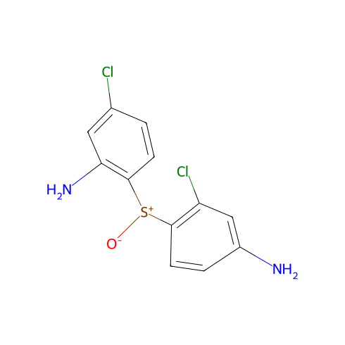 Nc1ccc([S+]([O-])c2ccc(Cl)cc2N)c(Cl)c1